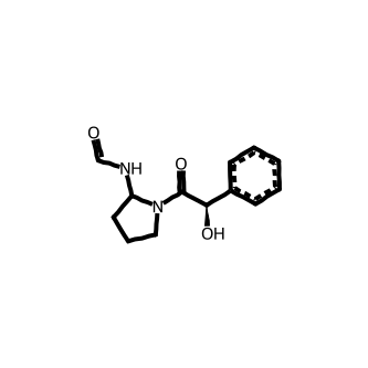 O=CNC1CCCN1C(=O)[C@H](O)c1ccccc1